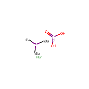 Br.CCCCP(CCCC)CCCC.O=[PH](O)O